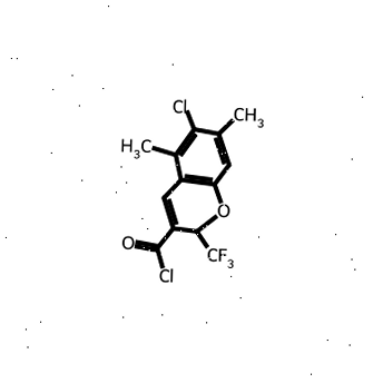 Cc1cc2c(c(C)c1Cl)C=C(C(=O)Cl)C(C(F)(F)F)O2